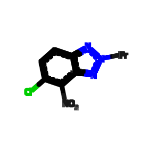 CC(C)n1nc2ccc(Cl)c([N+](=O)[O-])c2n1